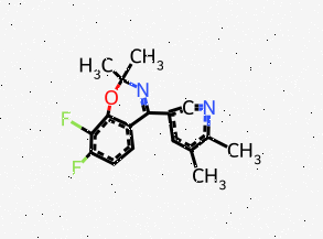 Cc1cc(C2=NC(C)(C)Oc3c2ccc(F)c3F)cnc1C